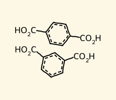 O=C(O)c1ccc(C(=O)O)cc1.O=C(O)c1cccc(C(=O)O)c1